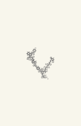 CC(C)[C@H](NCC(=O)NCCNC(=O)CCCN1C(=O)CCC1=O)C(=O)N[C@@H](CCCNC(N)=O)C(=O)Nc1ccc(COC(=O)N2CCc3c2ccc2[nH]c(C(=O)N4C[C@@H](CBr)c5c4cc(OC(=O)N4CCN(C)CC4)c4ccccc54)cc32)cc1